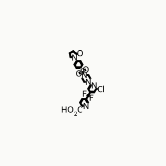 O=C(O)c1ccc(C(F)(F)c2cc(Cl)nc(N3CCN(S(=O)(=O)c4ccc(N5CCCC5=O)cc4)CC3)c2)cn1